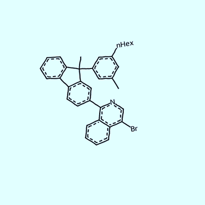 CCCCCCc1cc(C)cc(C2(C)c3ccccc3-c3ccc(-c4ncc(Br)c5ccccc45)cc32)c1